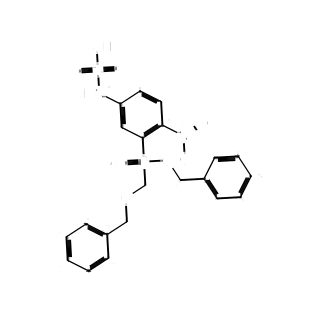 CS(=O)(=O)Nc1ccc([N+](=O)[O-])c(P(=O)(COCc2ccccc2)OCc2ccccc2)c1